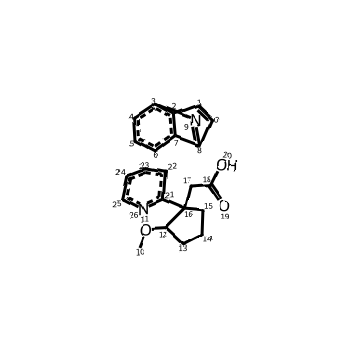 C1=Cc2c3cccc2C1=N3.COC1CCCC1(CC(=O)O)c1ccccn1